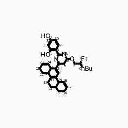 CCCCC(CC)COC1CC(C2=CC3=C(CCC4C=CC=CC34)C3CCC=CC23)=NC(c2ccc(O)cc2O)=N1